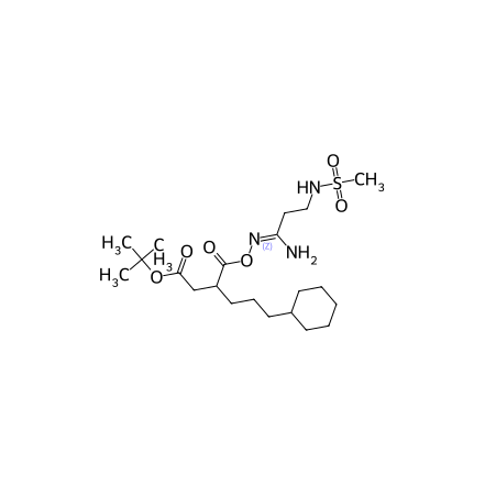 CC(C)(C)OC(=O)CC(CCCC1CCCCC1)C(=O)O/N=C(\N)CCNS(C)(=O)=O